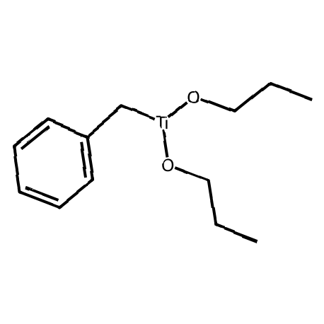 CCC[O][Ti]([CH2]c1ccccc1)[O]CCC